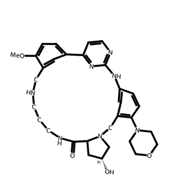 COc1ccc2cc1CNCCCNC(=O)C1C[C@@H](O)CN1Cc1cc(ccc1N1CCOCC1)Nc1nccc-2n1